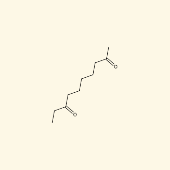 CCC(=O)CCCCCC(C)=O